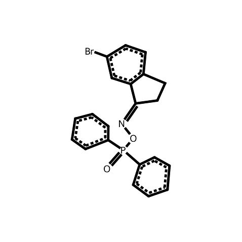 O=P(ON=C1CCc2ccc(Br)cc21)(c1ccccc1)c1ccccc1